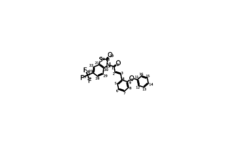 O=C(C=Cc1ccccc1Oc1ccccc1)n1c(=O)sc2cc(C(F)(F)F)ccc21